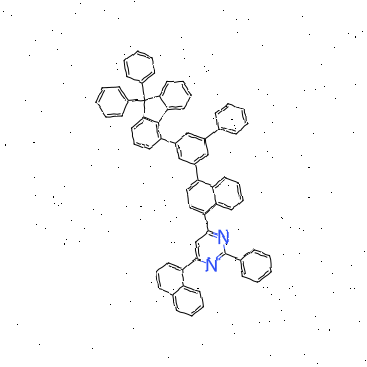 c1ccc(-c2cc(-c3cccc4c3-c3ccccc3C4(c3ccccc3)c3ccccc3)cc(-c3ccc(-c4cc(-c5cccc6ccccc56)nc(-c5ccccc5)n4)c4ccccc34)c2)cc1